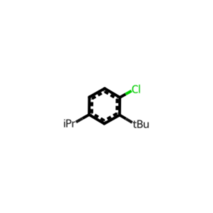 CC(C)c1ccc(Cl)c(C(C)(C)C)c1